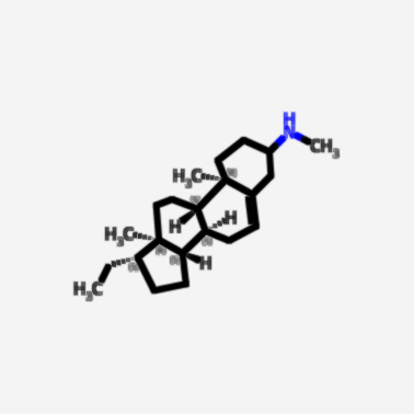 CC[C@H]1CC[C@H]2[C@@H]3CC=C4CC(NC)CC[C@]4(C)[C@H]3CC[C@]12C